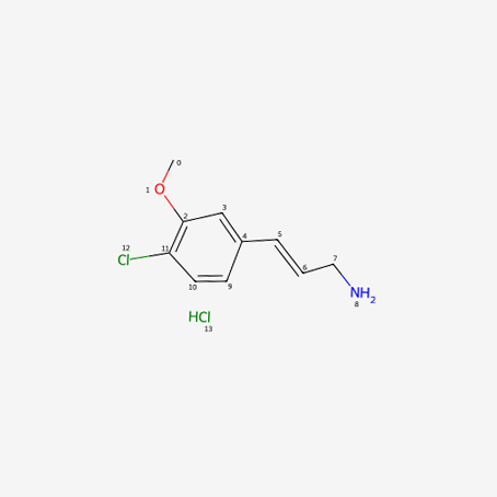 COc1cc(/C=C/CN)ccc1Cl.Cl